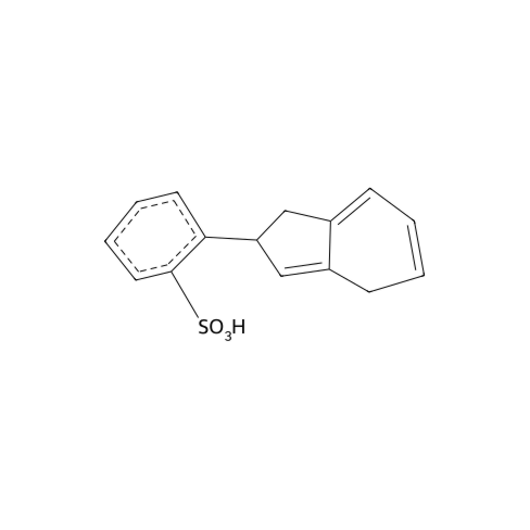 O=S(=O)(O)c1ccccc1C1C=C2CC=CC=C2C1